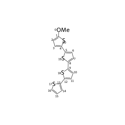 COc1ccc(-c2ccc(-c3ccc(-c4cccs4)s3)s2)s1